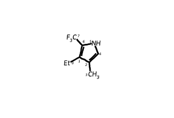 CCc1c(C)c[nH]c1C(F)(F)F